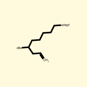 C=CC[C](CCCC)CCCCCCCCCCCC